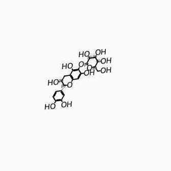 OC[C@H]1O[C@H](Oc2c(O)cc3c(c2O)C[C@@H](O)[C@@H](c2ccc(O)c(O)c2)O3)[C@H](O)[C@@H](O)[C@@H]1O